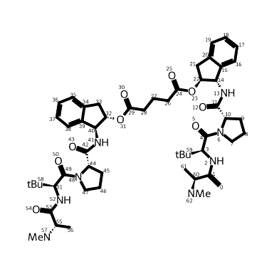 C=C(N[C@H](C(=O)N1CCC[C@H]1C(=O)N[C@H]1c2ccccc2C[C@@H]1OC(=O)CCCC(=O)O[C@H]1Cc2ccccc2[C@@H]1NC(=O)[C@@H]1CCCN1C(=O)[C@@H](NC(=O)[C@H](C)NC)C(C)(C)C)C(C)(C)C)[C@H](C)NC